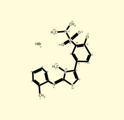 Br.Cc1ccccc1/N=c1/scc(-c2ccc(Cl)c(S(=O)(=O)N(C)C)c2)n1C